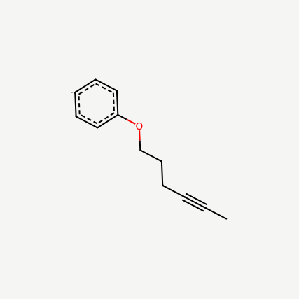 CC#CCCCOc1cc[c]cc1